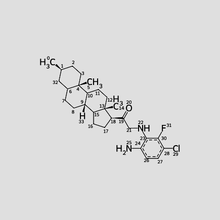 C[C@H]1CC[C@@]2(C)C(CC[C@@H]3C2CC[C@@]2(C)C3CC[C@@H]2C(=O)CNc2c(N)ccc(Cl)c2F)C1